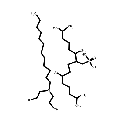 CC(C)CCCC(C)CCC(CP(=O)(O)O)C(C)CCCC(C)C.CCCCCCCCCCCCN(CCO)CCO